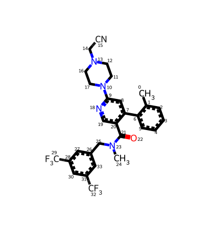 Cc1ccccc1-c1cc(N2CCN(CC#N)CC2)ncc1C(=O)N(C)Cc1cc(C(F)(F)F)cc(C(F)(F)F)c1